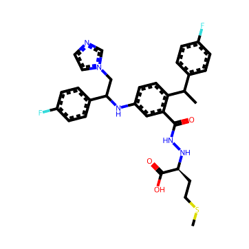 CSCC[C@H](NNC(=O)c1cc(NC(Cn2ccnc2)c2ccc(F)cc2)ccc1C(C)c1ccc(F)cc1)C(=O)O